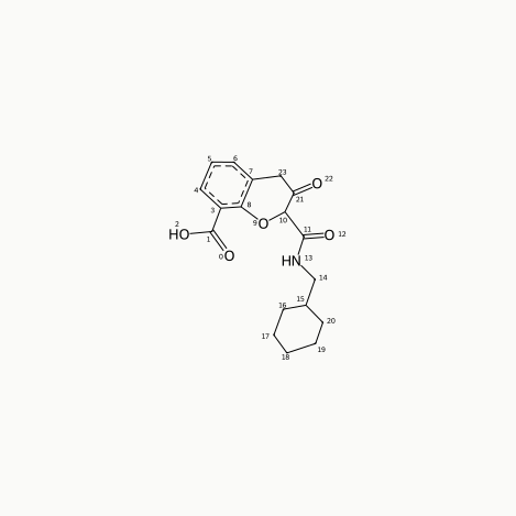 O=C(O)c1cccc2c1OC(C(=O)NCC1CCCCC1)C(=O)C2